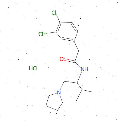 CC(C)C(CN1CCCC1)NC(=O)Cc1ccc(Cl)c(Cl)c1.Cl